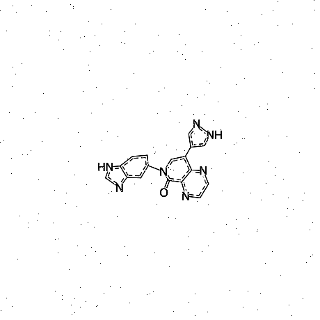 O=c1c2nccnc2c(-c2cn[nH]c2)cn1-c1ccc2[nH]cnc2c1